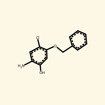 Nc1cc(Cl)c(OCc2ccccc2)cc1O